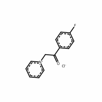 O=C(C[n+]1ccccc1)c1ccc(F)cc1.[Cl-]